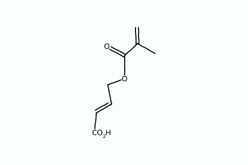 C=C(C)C(=O)OCC=CC(=O)O